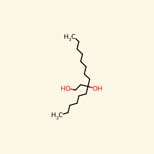 CCCCCCCCC(O)(CCO)CCCCCC